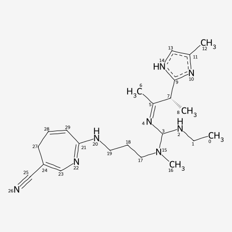 CCNC(/N=C(/C)[C@@H](C)c1nc(C)c[nH]1)N(C)CCCNC1=NC=C(C#N)CC=C1